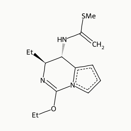 C=C(N[C@@H]1c2cccn2C(OCC)=N[C@H]1CC)SC